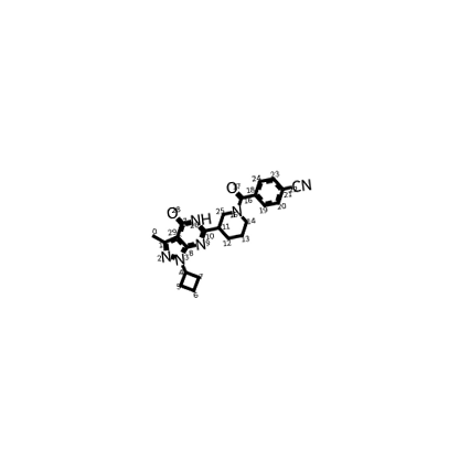 Cc1nn(C2CCC2)c2nc(C3CCCN(C(=O)c4ccc(C#N)cc4)C3)[nH]c(=O)c12